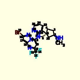 CN[C@@H]1CC[C@](CNc2cc(C(F)(F)F)nc3cc(Br)nn23)(c2cccnc2)C1